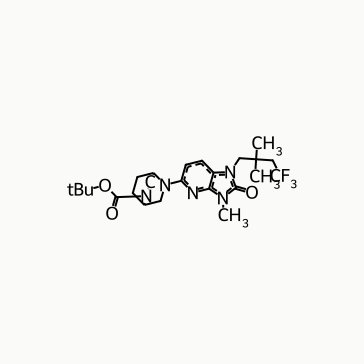 Cn1c(=O)n(CC(C)(C)CC(F)(F)F)c2ccc(N3CC4CCC3CN4C(=O)OC(C)(C)C)nc21